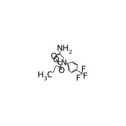 CCCS(=O)(=O)N(CC(N)=O)c1ccc(C(F)(F)F)cc1